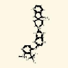 CNc1nccc(Sc2cnc3[nH]c(N4CCC5(CC4)Cc4ncccc4[C@H]5N)nc3n2)c1C(F)(F)F